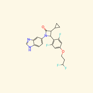 O=C1C(C2CC2)C(c2c(F)cc(OCCC(F)F)cc2F)N1c1ccc2[nH]cnc2c1